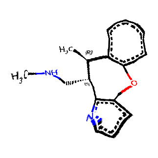 CNC[C@H]1c2ncccc2Oc2ccccc2[C@@H]1C